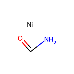 NC=O.[Ni]